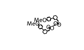 COc1ccc(C2=CC(=CC(=O)OCCOC(=O)C=C3C=C(c4ccc(OC)cc4)CCC3)CCC2)cc1